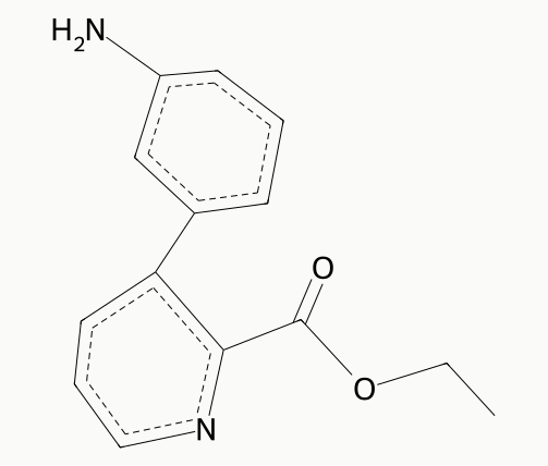 CCOC(=O)c1ncccc1-c1cccc(N)c1